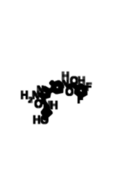 Cc1cc(NC(=O)[C@@H](O)c2cc(F)cc(F)c2)ccc1-c1cnc(N)c(C(=O)NC2CC(O)C2)c1